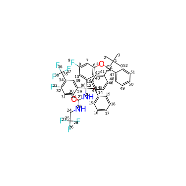 CC(C)(C)[Si](Oc1cc(F)cc([C@](Cc2ccccc2)(NC(=O)NCC(F)(F)F)c2ccc(F)c(C(F)(F)F)c2)c1)(c1ccccc1)c1ccccc1